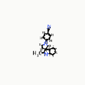 CC1=Nc2ccccc2C12CCN(c1ccc(C#N)cc1)C2